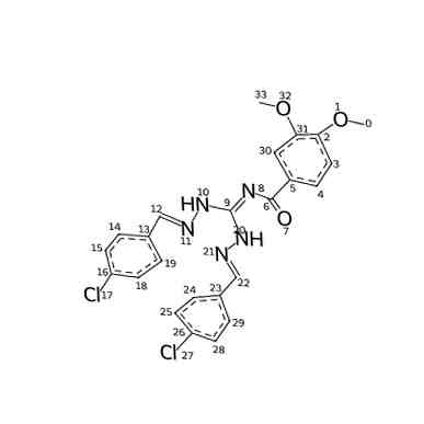 COc1ccc(C(=O)N=C(N/N=C/c2ccc(Cl)cc2)N/N=C/c2ccc(Cl)cc2)cc1OC